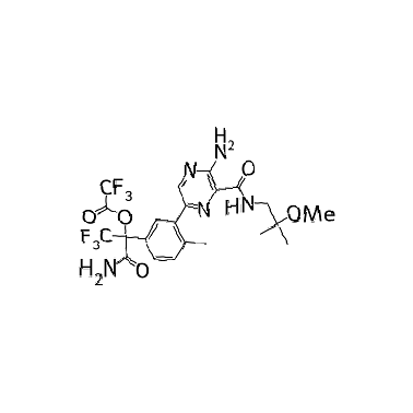 COC(C)(C)CNC(=O)c1nc(-c2cc(C(OC(=O)C(F)(F)F)(C(N)=O)C(F)(F)F)ccc2C)cnc1N